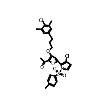 CC(=O)c1oc(-c2c(Cl)ccn2S(=O)(=O)c2ccc(C)cc2)cc1OCCCc1cc(C)c(Cl)c(C)c1